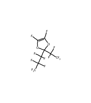 FC1=C(F)OC(C(F)(F)C(F)(F)F)(C(F)(F)C(F)(F)C(F)(F)F)O1